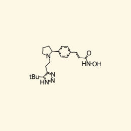 CC(C)(C)c1[nH]nnc1CCN1CCC[C@H]1c1ccc(/C=C/C(=O)NO)cc1